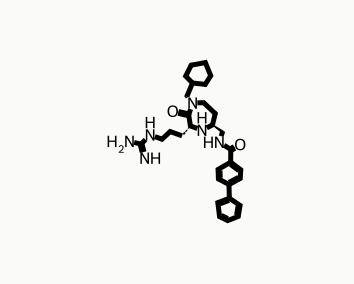 N=C(N)NCCC[C@H]1N[C@H](CNC(=O)c2ccc(-c3ccccc3)cc2)CCN(CC2CCCCC2)C1=O